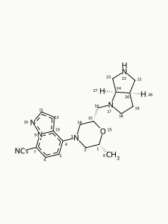 C[C@@H]1CN(c2ccc(C#N)n3nccc23)C[C@H](CN2CC[C@@H]3CNC[C@@H]32)O1